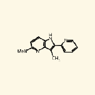 CNc1ccc2[nH]c(-c3ccccn3)c(C)c2n1